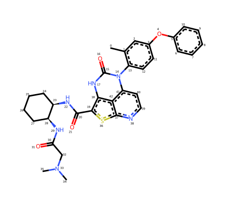 Cc1cc(Oc2ccccc2)ccc1N1C(=O)Nc2c(C(=O)N[C@@H]3CCCC[C@@H]3NC(=O)CN(C)C)sc3nccc1c23